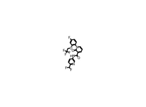 O=C(Nc1ccc(C(F)F)nc1)c1cccn(-c2ccc(F)cc2OCC(F)(F)F)c1=O